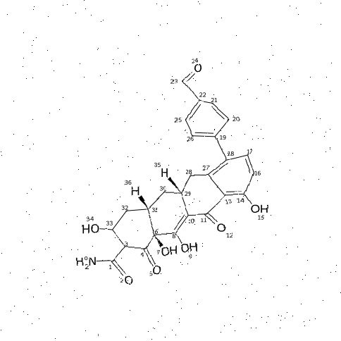 NC(=O)C1C(=O)[C@@]2(O)C(O)=C3C(=O)c4c(O)ccc(-c5ccc(C=O)cc5)c4C[C@H]3C[C@H]2CC1O